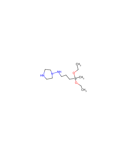 CCO[Si](C)(CCCNN1CCNCC1)OCC